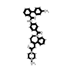 Cc1ccc(-c2ccccc2C(=O)Nc2ccc(C(=O)N3CCC=C(CC(=O)N4CCN(C)CC4)c4ccccc43)cc2)cc1